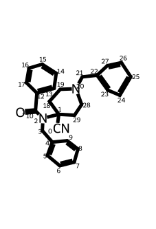 N#CC1(N(Cc2ccccc2)C(=O)c2ccccc2)CCN(Cc2ccccc2)CC1